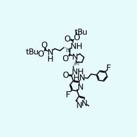 Cn1cc(-c2nc(NCCc3cccc(F)c3)c(C(=O)NC[C@H]3CCCN3C(=O)[C@H](CCCNC(=O)OC(C)(C)C)NC(=O)OC(C)(C)C)cc2F)cn1